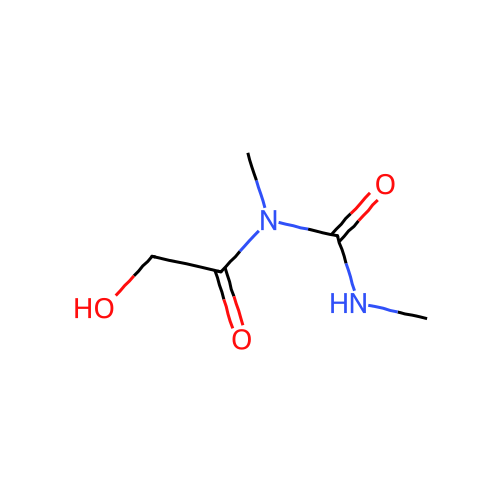 CNC(=O)N(C)C(=O)CO